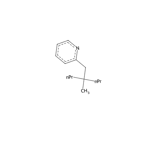 CCCC(C)(CCC)Cc1ccccn1